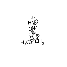 COc1cc2c(cc1OC)-c1c(-c3cccs3)cc(C(=O)N3CCC[C@H](NC(=O)C4CCC4)C3)n1CC2